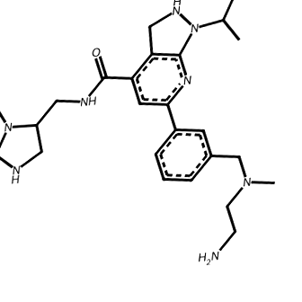 CC(C)N1NCc2c(C(=O)NCC3CNCN3C)cc(-c3cccc(CN(C)CCN)c3)nc21